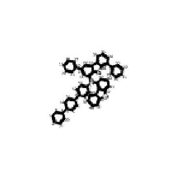 c1ccc(-c2ccc(-c3ccc(N(c4cc(-c5ccccc5)cc5c4sc4c(-c6ccccc6)cccc45)c4cccc5oc6ccccc6c45)cc3)cc2)cc1